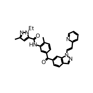 CCn1nc(C)cc1C(=O)Nc1cc(C(=O)c2ccc3cnn(C=Cc4ccccn4)c3c2)ccc1C